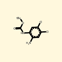 CC(C)(C)OC(=O)Nc1cc(Cl)c(Cl)cc1N